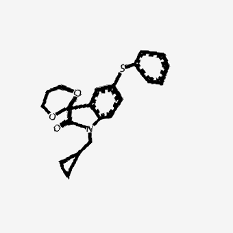 O=C1N(CC2CC2)c2ccc(Sc3ccccc3)cc2C12OCCCO2